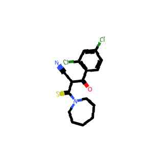 N#CC(C(=O)c1ccc(Cl)cc1Cl)C(=S)N1CCCCCC1